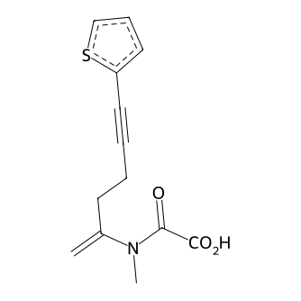 C=C(CCC#Cc1cccs1)N(C)C(=O)C(=O)O